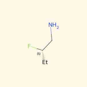 CC[C@H](F)CN